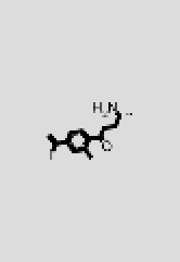 C=C(I)c1ccc(C(=O)CC[C@@H](C)N)c(C)c1